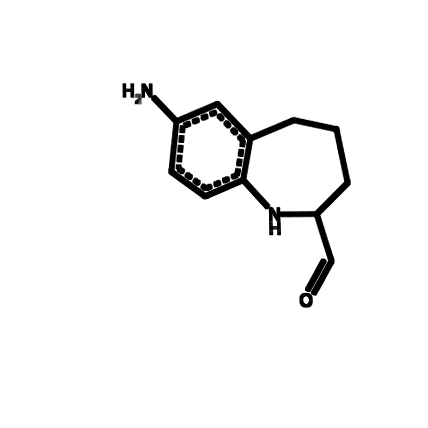 Nc1ccc2c(c1)CCCC(C=O)N2